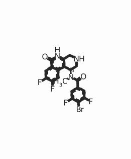 CN(C(=O)c1cc(F)c(Br)c(F)c1)[C@@H]1CNCc2[nH]c(=O)c3cc(F)c(F)cc3c21